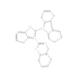 c1ccc2nc(-n3c(-n4c5ccccc5c5ccccc54)nc4ccccc43)ncc2c1